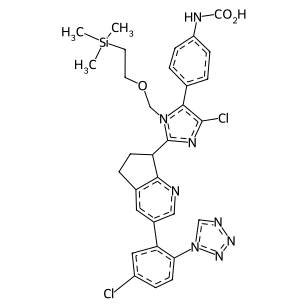 C[Si](C)(C)CCOCn1c(C2CCc3cc(-c4cc(Cl)ccc4-n4cnnn4)cnc32)nc(Cl)c1-c1ccc(NC(=O)O)cc1